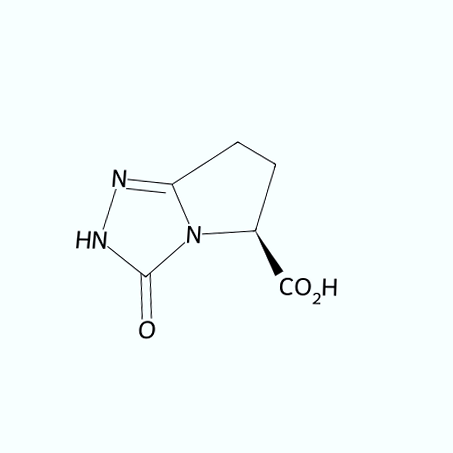 O=C(O)[C@@H]1CCc2n[nH]c(=O)n21